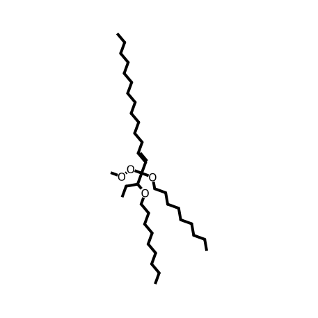 CCCCCCCCCCCCC=CC(OCCCCCCCCC)(OOC)C(CC)OCCCCCCCCC